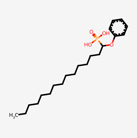 CCCCCCCCCCCCCCC(Oc1ccccc1)P(=O)(O)O